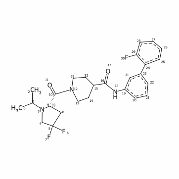 CC(C)N1CC(F)(F)C[C@H]1C(=O)N1CCC(C(=O)Nc2cccc(-c3ccccc3F)c2)CC1